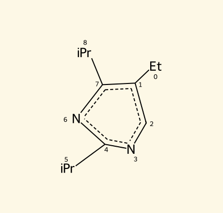 CCc1cnc(C(C)C)nc1C(C)C